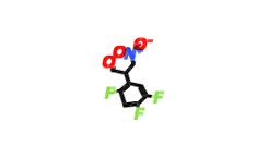 O=CC(C[N+](=O)[O-])c1cc(F)c(F)cc1F